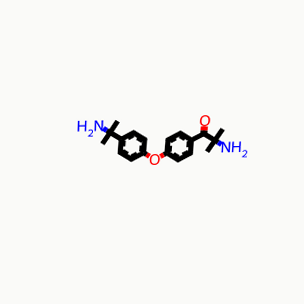 CC(C)(N)C(=O)c1ccc(Oc2ccc(C(C)(C)N)cc2)cc1